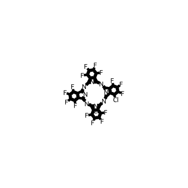 Fc1c(F)c(F)c2c(c1F)-c1nc-2nc2c3c(F)c(F)c(F)c(F)c3c(nc3nc(nc4c5c(F)c(F)c(F)c(F)c5c(n1)n4F)-c1c(F)c(F)c(F)c(Cl)c1-3)n2Cl